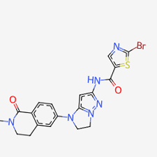 CN1CCc2cc(N3CCn4nc(NC(=O)c5cnc(Br)s5)cc43)ccc2C1=O